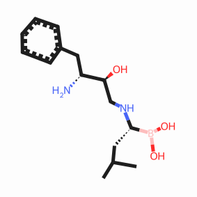 CC(C)C[C@H](NC[C@H](O)[C@H](N)Cc1ccccc1)B(O)O